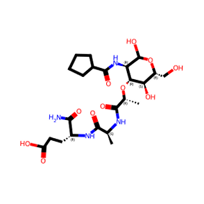 C[C@H](NC(=O)[C@@H](C)O[C@H]1[C@H](O)[C@@H](CO)OC(O)[C@@H]1NC(=O)C1CCCC1)C(=O)N[C@H](CCC(=O)O)C(N)=O